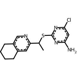 CC(Sc1nc(N)cc(Cl)n1)c1cc2c(cn1)CCCC2